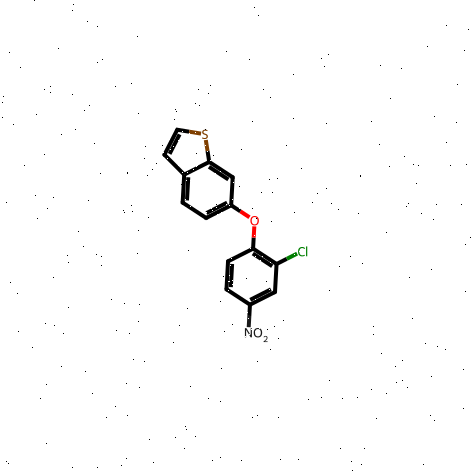 O=[N+]([O-])c1ccc(Oc2ccc3ccsc3c2)c(Cl)c1